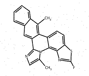 Cc1c2ccccc2cc2c1c1ccc3sc(F)nc3c1n1c(C)cnc21